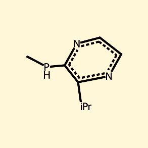 CPc1nccnc1C(C)C